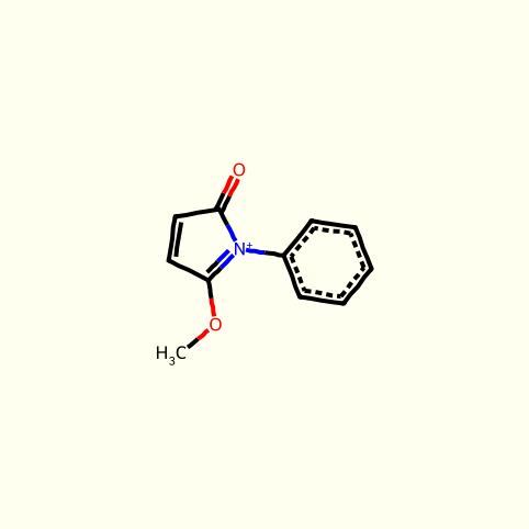 COC1=[N+](c2ccccc2)C(=O)C=C1